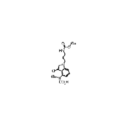 CC(C)(C)OC(=O)NCCCn1cc(Cl)c2c(N(C(=O)O)C(C)(C)C)cccc21